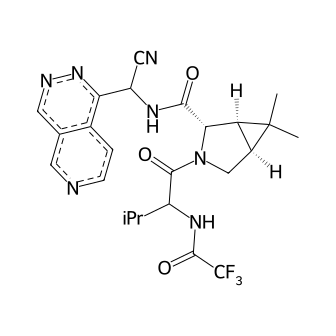 CC(C)C(NC(=O)C(F)(F)F)C(=O)N1C[C@H]2[C@@H]([C@H]1C(=O)NC(C#N)c1nncc3cnccc13)C2(C)C